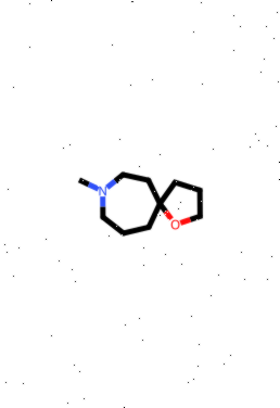 CN1CCCC2(CCCO2)CC1